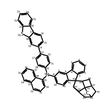 c1ccc2c(c1)-c1cc(N(c3ccc(-c4ccc5c(c4)sc4ccccc45)cc3)c3cccc4ccccc34)ccc1C21C2CC3CC4CC1C4(C3)C2